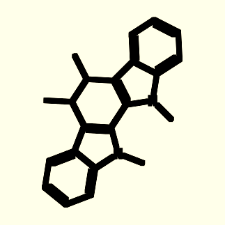 CC1c2c(n(C)c3ccccc23)-c2c(c3ccccc3n2C)C1C